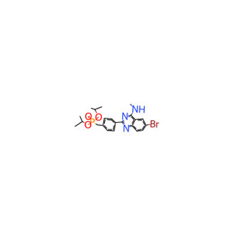 CNc1nc(-c2ccc(CP(=O)(OC(C)C)OC(C)C)cc2)nc2ccc(Br)cc12